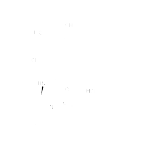 Cc1c(-c2ccccc2)cc(C(=O)N[C@@H]2CCCCN2C)c(Cl)c1C(F)(F)F.Cl